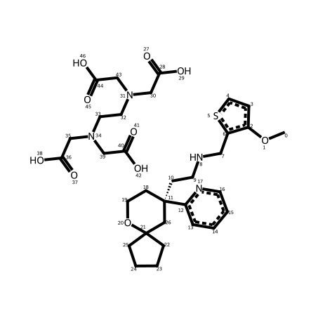 COc1ccsc1CNCC[C@@]1(c2ccccn2)CCOC2(CCCC2)C1.O=C(O)CN(CCN(CC(=O)O)CC(=O)O)CC(=O)O